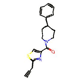 C#Cc1nc(C(=O)N2CCC(c3ccccc3)CC2)cs1